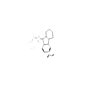 C=CC=C.CC(C)(C)[NH][Ti]([CH3])([CH3])[CH]1C2C=CC=CC2C2CCCCC21.[SiH4]